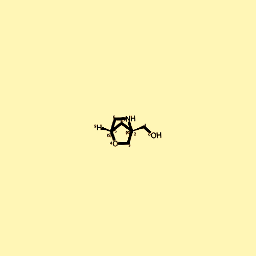 OC[C@]12CO[C@H](CN1)C2